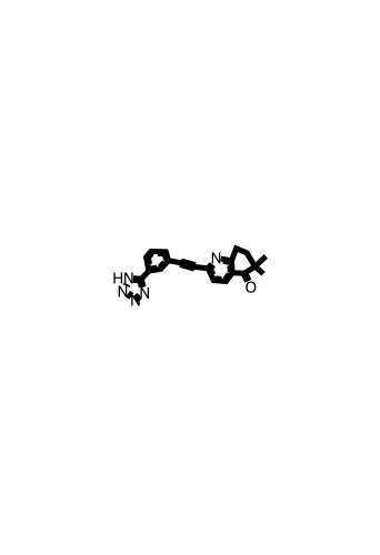 CC1(C)CCc2nc(C#Cc3cccc(-c4nnn[nH]4)c3)ccc2C1=O